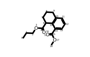 CCCOC(=O)C1CCCc2cccc(C(=O)OC)c21